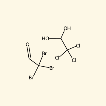 O=CC(Br)(Br)Br.OC(O)C(Cl)(Cl)Cl